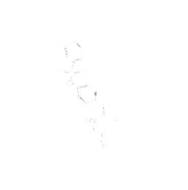 CC(C)CC(NC(Cc1ccc(NS(=O)(=O)c2ccccc2)cc1)C(=O)O)C(=O)O